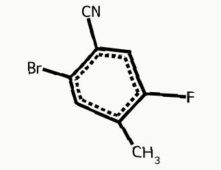 Cc1cc(Br)c(C#N)cc1F